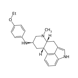 CCOc1ccc(N[C@@H]2C[C@H]3c4cccc5[nH]cc(c45)C[C@H]3N(C)C2)cc1